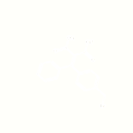 O=C(O)C(C(=O)O)=C(c1ccccc1)c1ccc(CBr)cc1